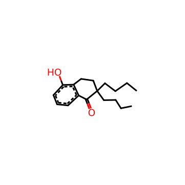 CCCCC1(CCCC)CCc2c(O)cccc2C1=O